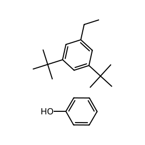 CCc1cc(C(C)(C)C)cc(C(C)(C)C)c1.Oc1ccccc1